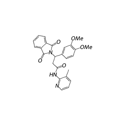 COc1ccc(C(CC(=O)Nc2ncccc2C)N2C(=O)c3ccccc3C2=O)cc1OC